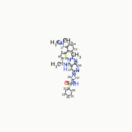 Cc1nc(NC(C)c2ccc(-c3ccccc3CN(C)C)s2)c2cc(N3CC(N[S+]([O-])c4ccccc4)C3)ncc2n1